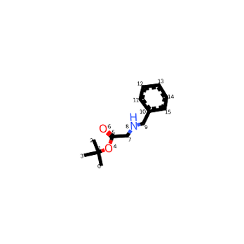 CC(C)(C)OC(=O)CNCc1ccccc1